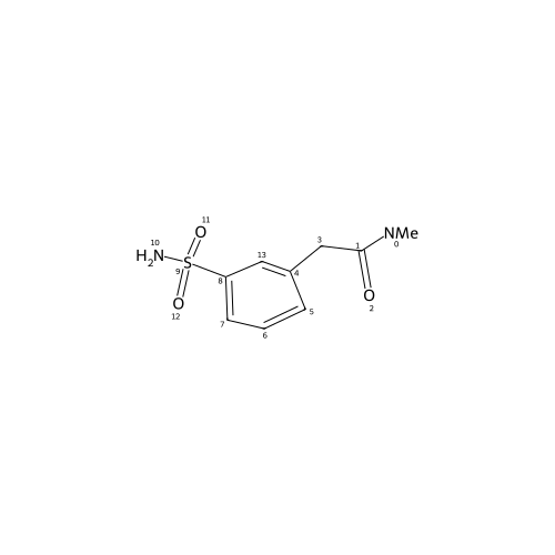 CNC(=O)Cc1cccc(S(N)(=O)=O)c1